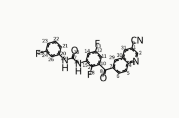 N#Cc1cnc2ccc(C(=O)c3cc(F)cc(NC(=O)Nc4cccc(F)c4)c3F)cc2c1